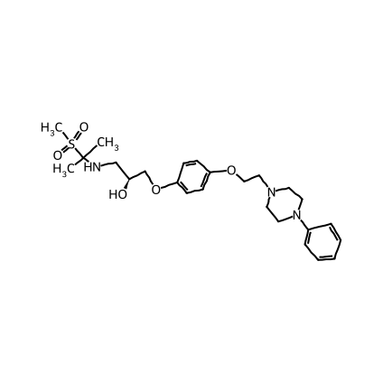 CC(C)(NC[C@H](O)COc1ccc(OCCN2CCN(c3ccccc3)CC2)cc1)S(C)(=O)=O